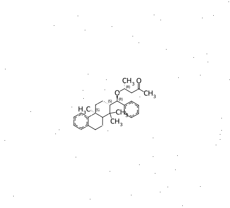 CC(=O)C[C@@H](C)O[C@@H](c1ccccc1)[C@H]1CC[C@]2(C)c3ccccc3CCC2C1(C)C